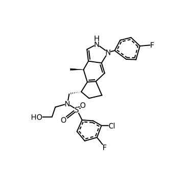 C[C@H]1C2=CNN(c3ccc(F)cc3)C2=CC2=C1[C@@H](CN(CCO)S(=O)(=O)c1ccc(F)c(Cl)c1)CC2